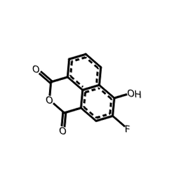 O=C1OC(=O)c2cc(F)c(O)c3cccc1c23